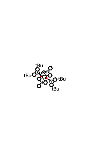 CC(C)(C)c1ccc2c(c1)c1cc(C(C)(C)C)ccc1n2-c1cc2c(s1)C1(c3ccccc3N(c3ccccc3)c3ccccc31)c1cc(-n3c4ccc(C(C)(C)C)cc4c4cc(C(C)(C)C)ccc43)sc1C21c2ccccc2N(c2ccccc2)c2ccccc21